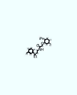 CCN(CCNC(=O)CO[C@@H]1C[C@H](C)CC[C@H]1C(C)C)c1cccc(C)c1